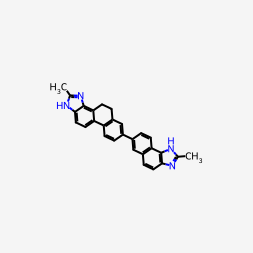 Cc1nc2c3c(ccc2[nH]1)-c1ccc(-c2ccc4c(ccc5nc(C)[nH]c54)c2)cc1CC3